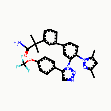 Cc1cc(C)n(-c2ccc(-c3cccc(C(C)(C)C(N)=O)c3)cc2-n2nncc2-c2ccc(OC(F)(F)F)cc2)n1